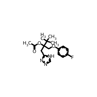 CC(=O)OC(COc1ccc(F)cc1)(Cc1nnc[nH]1)C(C)(C)C